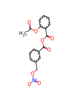 CC(=O)Oc1ccccc1C(=O)OC(=O)c1cccc(CO[N+](=O)[O-])c1